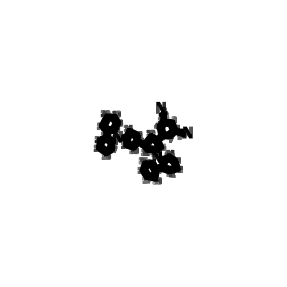 N#Cc1cc(C#N)cc(-c2cc(-c3ccc(-n4c5ccccc5c5ccccc54)cc3)cc(-n3c4ccccc4c4ccccc43)c2)c1